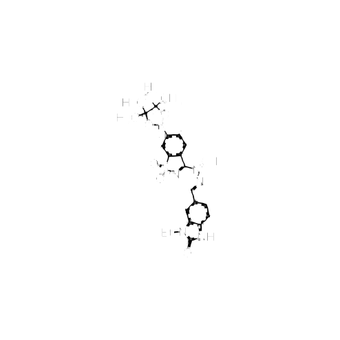 CCn1c(=O)[nH]c2ccc(/C=N/N(C)C3=NS(=O)(=O)c4cc(B5OC(C)(C)C(C)(C)O5)ccc43)cc21